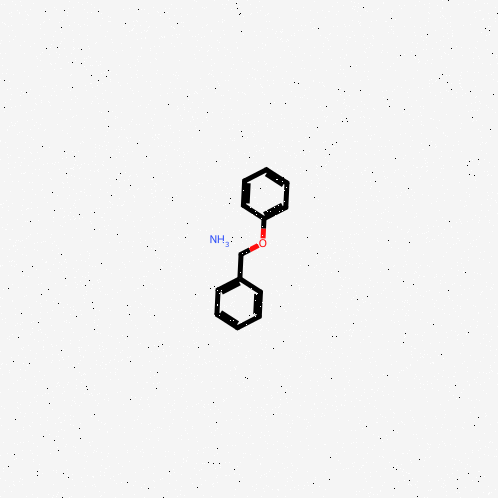 N.c1ccc(COc2ccccc2)cc1